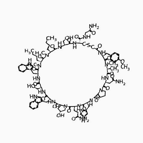 CCCC[C@H]1C(=O)N(C)[C@@H](CCCC)C(=O)N[C@@H](CO)C(=O)N[C@H](C(=O)NCC(N)=O)CSCC(=O)N[C@@H](Cc2ccc(OC)cc2)C(=O)N(C)[C@@H](C)C(=O)N[C@@H](CC(N)=O)C(=O)N2CCC[C@H]2C(=O)N[C@@H](Cc2c[nH]cn2)C(=O)N[C@@H](CCC(N)=O)C(=O)N2C[C@H](O)C[C@H]2C(=O)N[C@@H](Cc2c[nH]c3ccccc23)C(=O)N[C@@H](CO)C(=O)N[C@@H](Cc2c[nH]c3ccccc23)C(=O)N1C